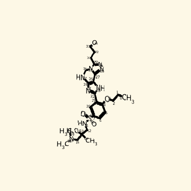 CCCOc1ccc(S(=O)(=O)NCC(C)(C)CN(C)C)cc1-c1nc2c([nH]1)-c1nnc(CCC=O)n1CN2